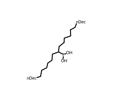 CCCCCCCCCCCCCCCCC(CCCCCCCCCCCCCCCC)P(O)O